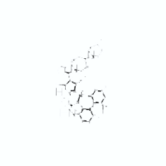 Cc1[nH]c(/C=C2\C(=O)Nc3cccc(-c4c(F)cccc4F)c32)c(C)c1C(=O)N1CCC(N2CCCC2)CC1